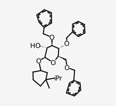 CC(C)C1(C)CCCC(O[C@@H]2O[C@H](COCc3ccccc3)[C@@H](OCc3ccccc3)[C@H](OCc3ccccc3)[C@H]2O)C1